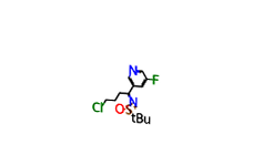 CC(C)(C)[S+]([O-])N=C(CCCCl)c1cncc(F)c1